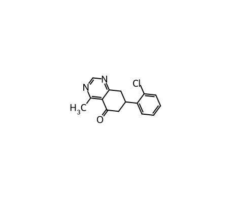 Cc1ncnc2c1C(=O)CC(c1ccccc1Cl)C2